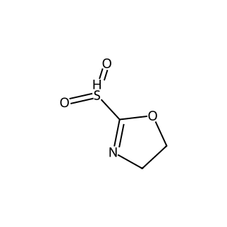 O=[SH](=O)C1=NCCO1